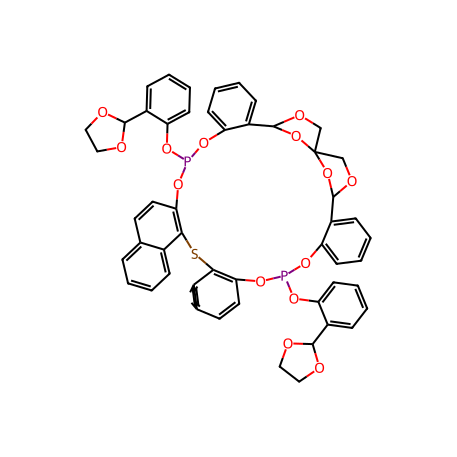 c1ccc(C2OCCO2)c(OP2Oc3ccccc3C3OCC4(COC(O4)c4ccccc4OP(Oc4ccccc4C4OCCO4)Oc4ccc5ccccc5c4Sc4c(ccc5ccccc45)O2)O3)c1